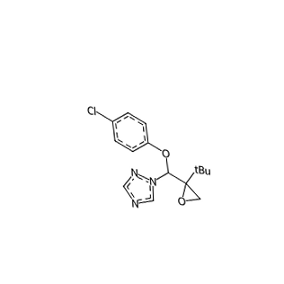 CC(C)(C)C1(C(Oc2ccc(Cl)cc2)n2cncn2)CO1